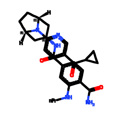 CCCNc1cc(C(=O)N[C@H]2C[C@H]3CC[C@@H](C2)N3c2ccc(C(=O)C3CC3)cn2)ccc1C(N)=O